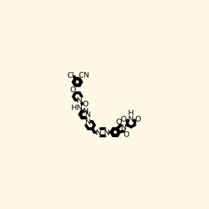 N#Cc1ccc(OC2CCN(C(=O)Nc3ccc(N4CCC(CN5CCN(c6ccc7c(c6)C(=O)N(C6CCC(=O)NC6=O)C7=O)CC5)CC4)nn3)CC2)cc1Cl